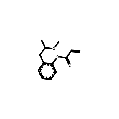 C=CC(=O)Oc1ccccc1CC(C)OC